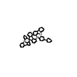 c1ccc(-c2ccc(N(c3cccc4c3-c3ccccc3C43c4ccccc4-n4c5ccccc5c5cccc3c54)c3cccc4c3oc3ccccc34)cc2)cc1